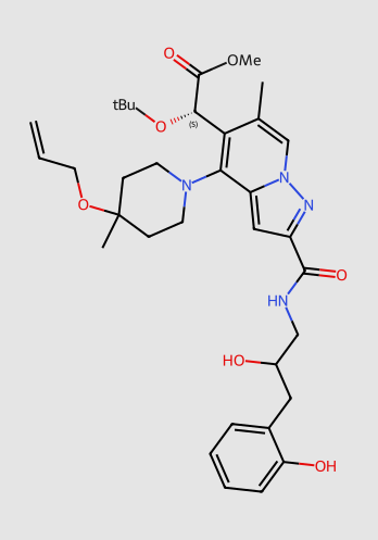 C=CCOC1(C)CCN(c2c([C@H](OC(C)(C)C)C(=O)OC)c(C)cn3nc(C(=O)NCC(O)Cc4ccccc4O)cc23)CC1